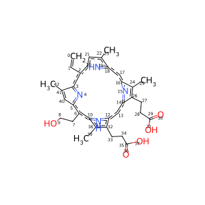 C=Cc1c2nc(c(CCO)c3[nH]c(cc4nc(cc5[nH]c1cc5C)C(C)=C4CCC(=O)O)c(CCC(=O)O)c3C)C=C2C